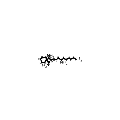 NCCCCCC(N)CCCCC(N)C1(C(N)=O)CCCCC1